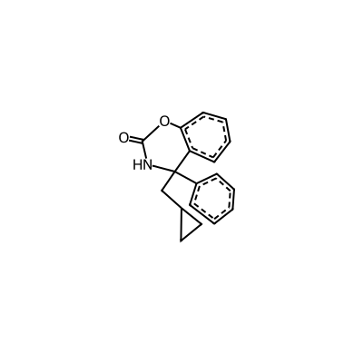 O=C1NC(CC2CC2)(c2ccccc2)c2ccccc2O1